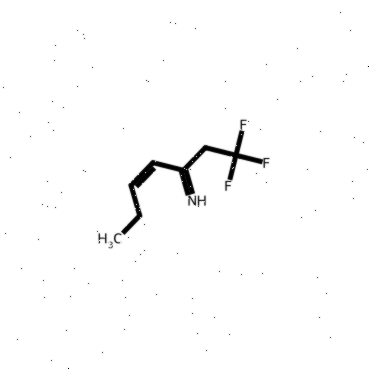 CC/C=C\C(=N)CC(F)(F)F